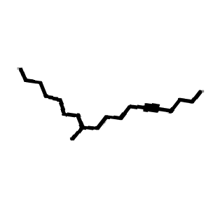 [CH2]CCCC#CCCCCC(C)CCCCCC[CH2]